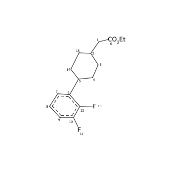 CCOC(=O)CC1CCC(c2cccc(F)c2F)CC1